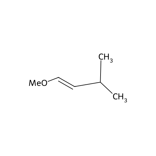 COC=CC(C)C